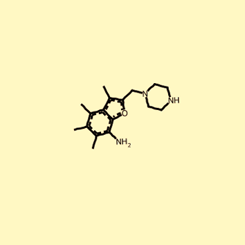 Cc1c(C)c(C)c2c(C)c(CN3CCNCC3)oc2c1N